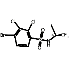 C[C@H](NS(=O)(=O)c1ccc(Br)c(Cl)c1Cl)C(F)(F)F